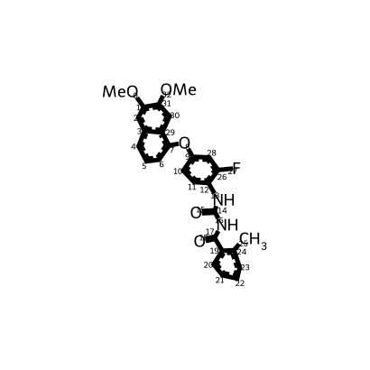 COc1cc2cccc(Oc3ccc(NC(=O)NC(=O)c4ccccc4C)c(F)c3)c2cc1OC